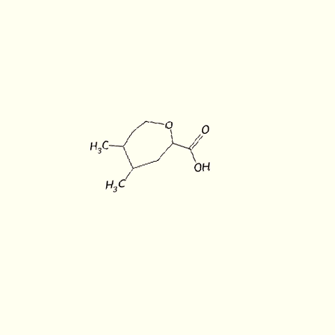 CC1COC(C(=O)O)CC1C